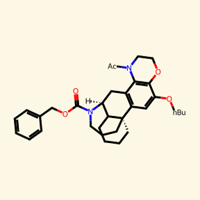 CCCCOc1cc2c(c3c1OCCN3C(C)=O)C[C@H]1C3CCCC[C@@]23CCCN1C(=O)OCc1ccccc1